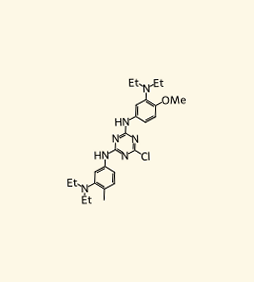 CCN(CC)c1cc(Nc2nc(Cl)nc(Nc3ccc(OC)c(N(CC)CC)c3)n2)ccc1C